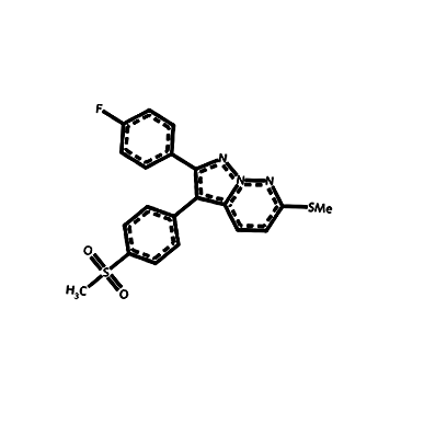 CSc1ccc2c(-c3ccc(S(C)(=O)=O)cc3)c(-c3ccc(F)cc3)nn2n1